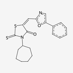 O=C1/C(=C\c2ncc(-c3ccccc3)o2)SC(=S)N1C1CCCCCC1